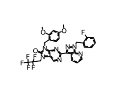 COc1ccc(Cn2c(=O)n(CC(F)(F)C(F)(F)F)c3cnc(-c4nn(Cc5ccccc5F)c5ncccc45)nc32)c(OC)c1